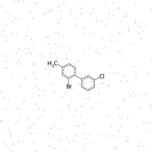 Cc1ccc(-c2cccc(Cl)c2)c(Br)c1